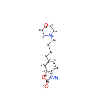 O=c1[nH]c2ccc(CCCCN3CCOCC3)cc2o1